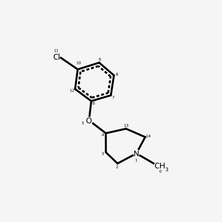 CN1CCC(Oc2cccc(Cl)c2)CC1